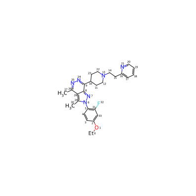 CCOc1ccc(-n2nc3c(C4CCN(CCc5ccccn5)CC4)nnc(C)c3c2C)c(F)c1